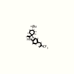 C=C(Nc1ccc(C[C@H](C)C(F)(F)F)cc1)[C@]1(C)CC[C@H](C(C)CC)CC1